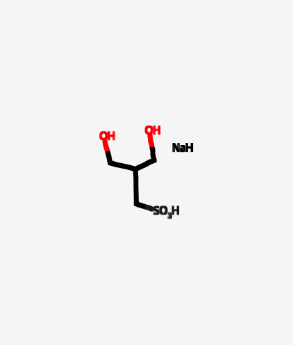 O=S(=O)(O)CC(CO)CO.[NaH]